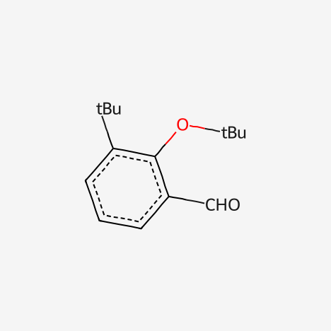 CC(C)(C)Oc1c(C=O)cccc1C(C)(C)C